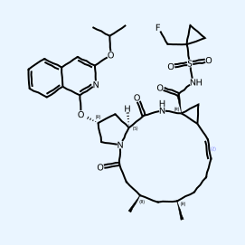 CC(C)Oc1cc2ccccc2c(O[C@@H]2C[C@H]3C(=O)N[C@]4(C(=O)NS(=O)(=O)C5(CF)CC5)CC4/C=C\CC[C@@H](C)C[C@@H](C)CC(=O)N3C2)n1